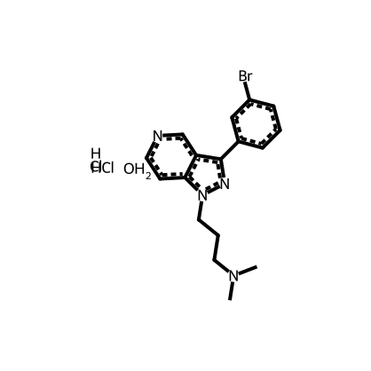 CN(C)CCCn1nc(-c2cccc(Br)c2)c2cnccc21.Cl.Cl.O